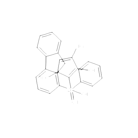 [CH2]=[Zr]([CH3])([C]1=C(C)C(C(C)(C)C)=CC1C)([c]1ccccc1)[c]1cccc2c1Cc1ccccc1-2